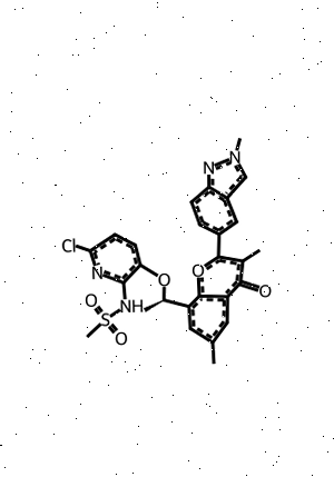 Cc1cc([C@@H](C)Oc2ccc(Cl)nc2NS(C)(=O)=O)c2oc(-c3ccc4nn(C)cc4c3)c(C)c(=O)c2c1